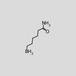 BCCCCCC(N)=O